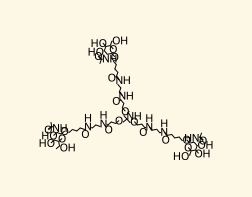 CNC(COCCC(=O)NCCCNC(=O)CCCCOC(OC(CO)C(C)O)C(O)NC(C)=O)(COCCC(=O)NCCCNC(=O)CCCCOC1OC(CO)C(O)C(O)C1NC(C)=O)COCCC(=O)NCCCNC(=O)CCCCOC1OC(CO)C(O)C(O)C1NC(C)=O